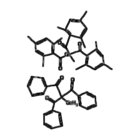 Cc1cc(C)c([C](=O)[Ge]([CH3])([C](=O)c2c(C)cc(C)cc2C)[C](=O)c2c(C)cc(C)cc2C)c(C)c1.O=C(c1ccccc1)[C]([GeH3])(C(=O)c1ccccc1)C(=O)c1ccccc1